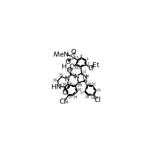 CCOc1ccc(S(=O)(=O)NC)c(C)c1C1=N[C@@H](c2ccc(Cl)cc2)[C@@H](c2ccc(Cl)cc2)N1C(=O)N1CCNC(=O)C1